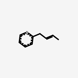 C/C=C/[CH]c1ccccn1